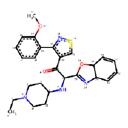 CCN1CCC(NC(C(=O)c2csnc2-c2ccccc2OC)C2=NC3C=CC=CC3O2)CC1